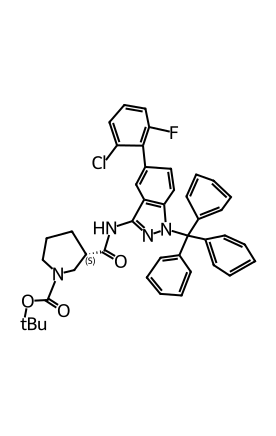 CC(C)(C)OC(=O)N1CCC[C@H](C(=O)Nc2nn(C(c3ccccc3)(c3ccccc3)c3ccccc3)c3ccc(-c4c(F)cccc4Cl)cc23)C1